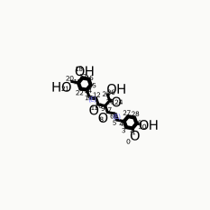 COc1cc(/C=C/C(=O)C(C(=O)/C=C/c2ccc(O)c(CO)c2)C(=O)CO)ccc1O